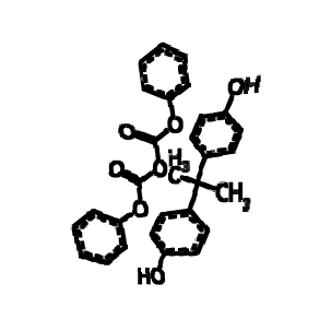 CC(C)(c1ccc(O)cc1)c1ccc(O)cc1.O=C(OC(=O)Oc1ccccc1)Oc1ccccc1